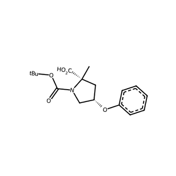 CC(C)(C)OC(=O)N1C[C@@H](Oc2ccccc2)C[C@@]1(C)C(=O)O